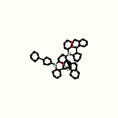 c1ccc(-c2ccc(N(c3ccccc3-c3ccccc3)c3ccc(N(c4ccccc4)c4ccccc4-c4cccc5ccccc45)c4c3oc3c5ccccc5ccc34)cc2)cc1